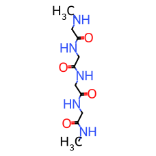 CNCC(=O)NCC(=O)NCC(=O)NCC(=O)NC